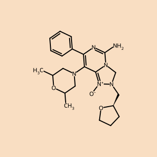 CC1CN(C2=C(c3ccccc3)N=C(N)N3CN(C[C@H]4CCCO4)[N+]([O-])=C23)CC(C)O1